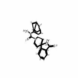 CN(C(=O)N1CCC2(CC1)NC(=S)c1ccccc12)C1C2CC3CC(C2)CC1C3